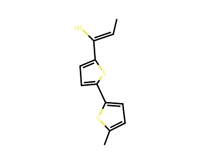 C/C=C(\S)c1ccc(-c2ccc(C)s2)s1